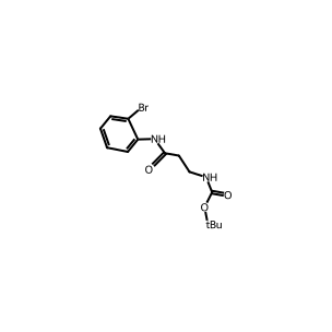 CC(C)(C)OC(=O)NCCC(=O)Nc1ccccc1Br